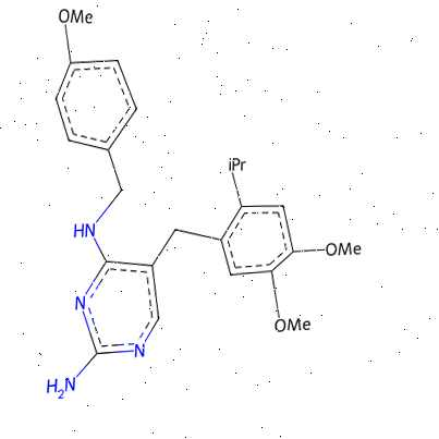 COc1ccc(CNc2nc(N)ncc2Cc2cc(OC)c(OC)cc2C(C)C)cc1